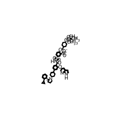 CC(C)(C)[Si](C)(C)OC1CCC(COc2ccc(S(=O)(=O)NC(=O)c3ccc(C4=CCC(N5CCC[C@H]5c5ccccc5C5CC5)CC4)cc3Oc3cnc4[nH]ccc4c3)cc2[N+](=O)[O-])CC1